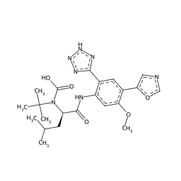 COc1cc(NC(=O)[C@@H](CC(C)C)N(C(=O)O)C(C)(C)C)c(-c2nn[nH]n2)cc1-c1cnco1